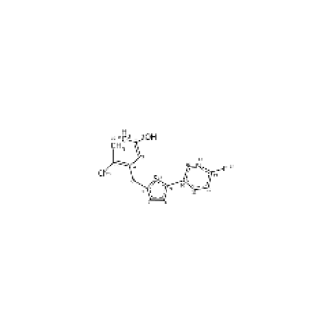 C/C(O)=C\C(Cc1ccc(-c2ccc(F)nc2)s1)=C(/C)Cl